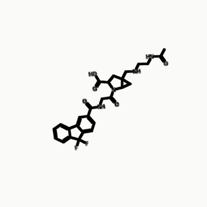 CC(=O)NCCNCC12CC(C(=O)O)N(C(=O)CNC(=O)c3ccc4c(c3)-c3ccccc3C4(F)F)C1C2